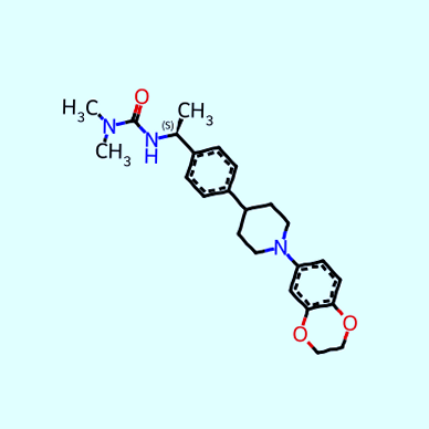 C[C@H](NC(=O)N(C)C)c1ccc(C2CCN(c3ccc4c(c3)OCCO4)CC2)cc1